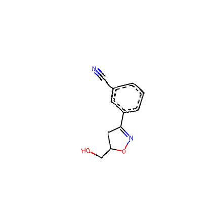 N#Cc1cccc(C2=NOC(CO)C2)c1